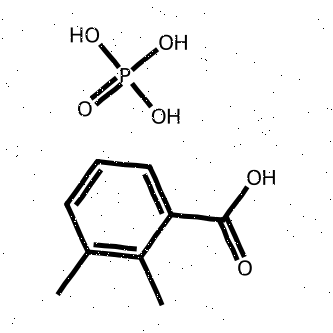 Cc1cccc(C(=O)O)c1C.O=P(O)(O)O